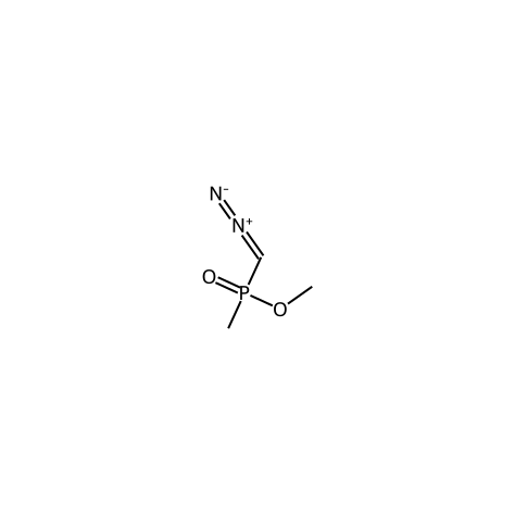 COP(C)(=O)C=[N+]=[N-]